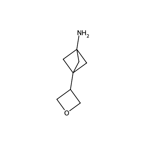 NC12CC(C3COC3)(C1)C2